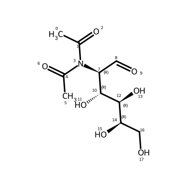 CC(=O)N(C(C)=O)[C@@H](C=O)[C@@H](O)[C@@H](O)[C@H](O)CO